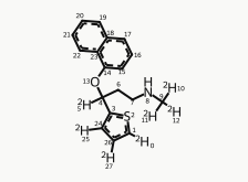 [2H]c1sc(C([2H])(CCNC([2H])([2H])[2H])Oc2cccc3ccccc23)c([2H])c1[2H]